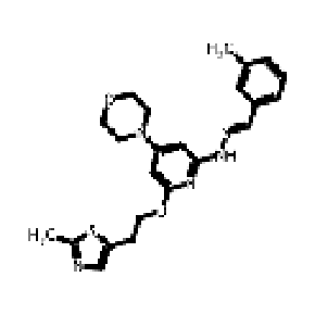 Cc1cccc(C=NNc2cc(N3CCOCC3)cc(OCCc3cnc(C)s3)n2)c1